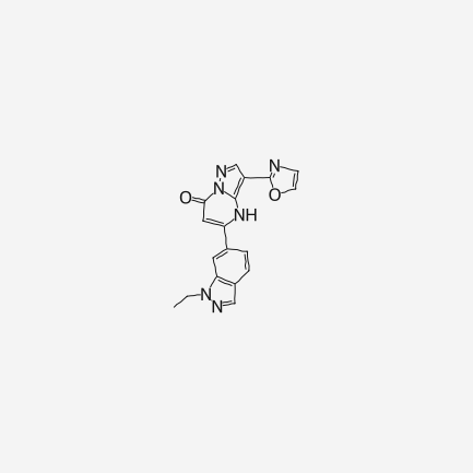 CCn1ncc2ccc(-c3cc(=O)n4ncc(-c5ncco5)c4[nH]3)cc21